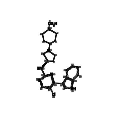 O=C(O)N1CCC(N2CC[C@@H](Nc3ncc(Cl)c(-c4c[nH]c5ccccc45)n3)C2)CC1